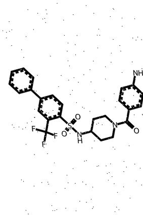 Nc1ccc(C(=O)N2CCC(NS(=O)(=O)c3ccc(-c4ccccc4)cc3C(F)(F)F)CC2)cc1